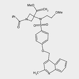 C=C(OC)C1(N(CCOC)S(=O)(=O)c2ccc(OCc3cc(C)nc4ccccc34)cc2)CN(C(=O)C(C)C)C1